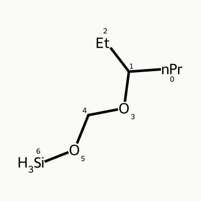 CCCC(CC)OCO[SiH3]